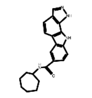 O=C(NC1CCCCCC1)c1ccc2[nH]c3c(ccc4cn[nH]c43)c2c1